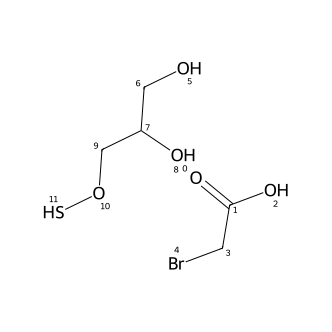 O=C(O)CBr.OCC(O)COS